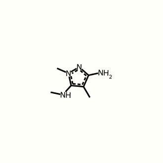 CNc1c(C)c(N)nn1C